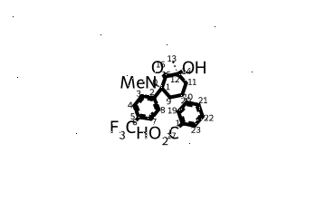 CN[C@@]1(c2ccc(C(F)(F)F)cc2)CCC[C@](C)(O)C1=O.O=C(O)c1ccccc1